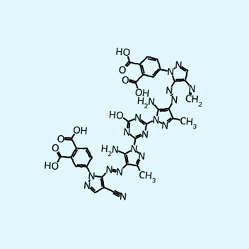 C=Nc1cnn(-c2ccc(C(=O)O)c(C(=O)O)c2)c1N=Nc1c(C)nn(-c2nc(O)nc(-n3nc(C)c(N=Nc4c(C#N)cnn4-c4ccc(C(=O)O)c(C(=O)O)c4)c3N)n2)c1N